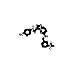 CS(=O)(=O)c1cccc(CNc2ccc3ncc(C(=O)Nc4ccc(O)cc4)n3n2)c1